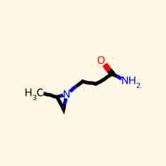 CC1CN1CCC(N)=O